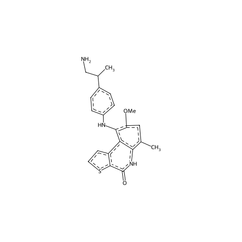 COc1cc(C)c2[nH]c(=O)c3sccc3c2c1Nc1ccc(C(C)CN)cc1